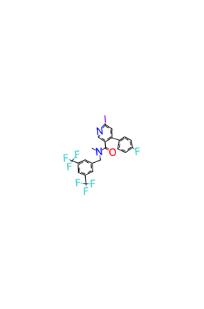 CN(Cc1cc(C(F)(F)F)cc(C(F)(F)F)c1)C(=O)c1cnc(I)cc1-c1ccc(F)cc1